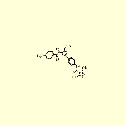 Cc1noc(C)c1C(=O)Nc1ccc(-c2cc(N(C(=O)C3CCC(C)CC3)C(C)C)c(C(=O)O)s2)cc1